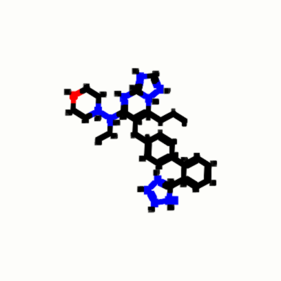 CCCc1c(Cc2ccc(-c3ccccc3-c3nnn[nH]3)cc2)c(N(CC)N2CCOCC2)nc2ncnn12